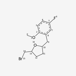 COc1ccc(F)cc1CC1CCC(CBr)O1